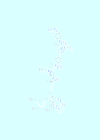 Cn1cc(NC(=O)CCCOc2cc3c(cc2O[C@@H]2O[C@H](CO)[C@@H](O)[C@H](O)[C@H]2O)C(=O)N2CCCC[C@H]2C=N3)cc1C(=O)Nc1ccc(-c2cc(C(=O)Nc3ccc(N)cc3)n(C)c2)cc1